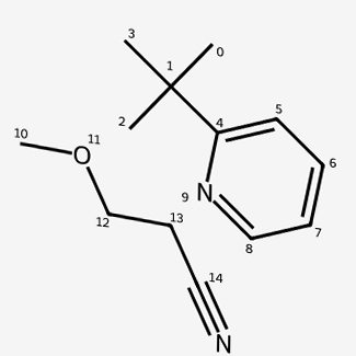 CC(C)(C)c1ccccn1.COCCC#N